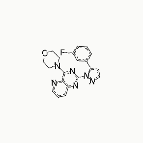 Fc1cccc(-c2ccnn2-c2nc(N3CCOCC3)c3ncccc3n2)c1